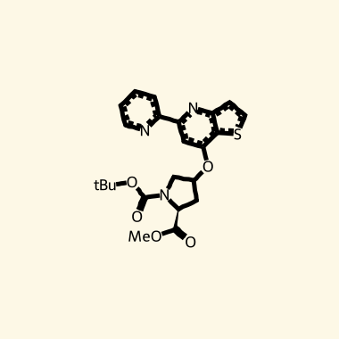 COC(=O)[C@@H]1CC(Oc2cc(-c3ccccn3)nc3ccsc23)CN1C(=O)OC(C)(C)C